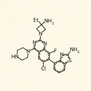 CCC1(N)CN(c2nc(N3CCNCC3)c3cc(Cl)c(-c4cccc5sc(N)nc45)c(F)c3n2)C1